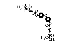 C=C(C)C(=O)OCCOC(=O)Oc1ccc(Oc2ccc(OC(=O)OCCOC(=O)C(=C)C)cc2)cc1